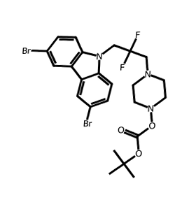 CC(C)(C)OC(=O)ON1CCN(CC(F)(F)Cn2c3ccc(Br)cc3c3cc(Br)ccc32)CC1